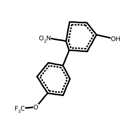 O=[N+]([O-])c1ccc(O)cc1-c1ccc(OC(F)(F)F)cc1